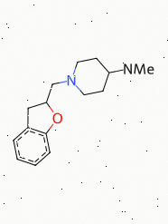 CNC1CCN(CC2Cc3ccccc3O2)CC1